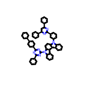 c1ccc(-c2ccc(-c3nc(-c4ccccc4)nc(-n4c5ccccc5c5c6c7ccccc7n(-c7cccc(-c8nc(-c9ccccc9)cc(-c9ccccc9)n8)c7)c6ccc54)n3)cc2)cc1